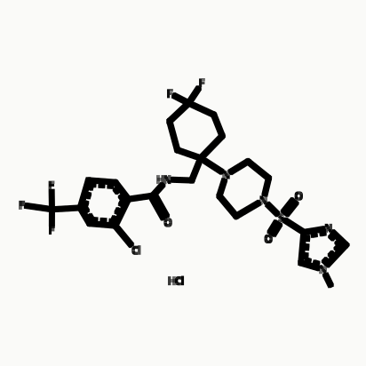 Cl.Cn1cnc(S(=O)(=O)N2CCN(C3(CNC(=O)c4ccc(C(F)(F)F)cc4Cl)CCC(F)(F)CC3)CC2)c1